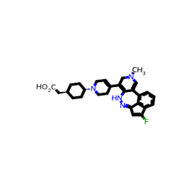 CN1C=C2C(=C(C3=CCN([C@H]4CC[C@H](CC(=O)O)CC4)CC3)C1)NN=C1C=C(F)c3cccc2c31